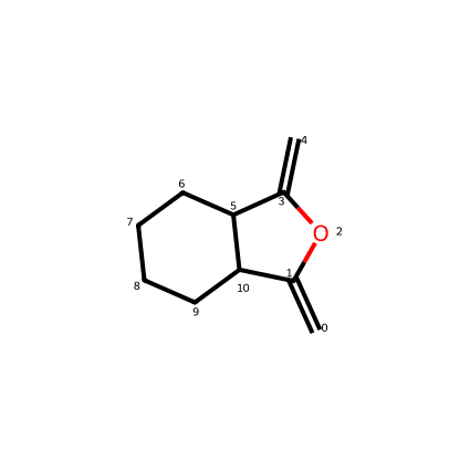 C=C1OC(=C)C2CCCCC12